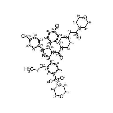 CCOc1cc(S(=O)(=O)N2CCOCC2)ccc1C1=N[C@@H](c2ccc(Cl)cc2)[C@@H](c2ccc(Cl)cc2)N1C(=O)N1CCN(CC(=O)N2CCOCC2)CC1